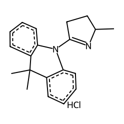 CC1CCC(N2c3ccccc3C(C)(C)c3ccccc32)=N1.Cl